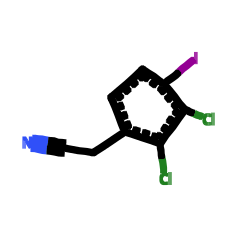 N#CCc1ccc(I)c(Cl)c1Cl